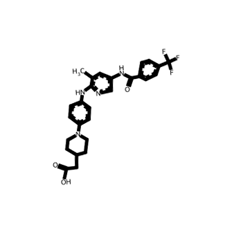 Cc1cc(NC(=O)c2ccc(C(F)(F)F)cc2)cnc1Nc1ccc(N2CCC(CC(=O)O)CC2)cc1